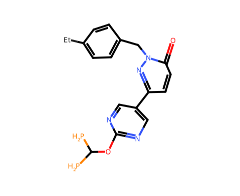 CCc1ccc(Cn2nc(-c3cnc(OC(P)P)nc3)ccc2=O)cc1